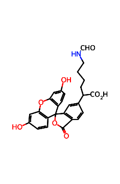 O=CNCCCCC(C(=O)O)c1ccc2c(c1)C1(OC2=O)c2ccc(O)cc2Oc2cc(O)ccc21